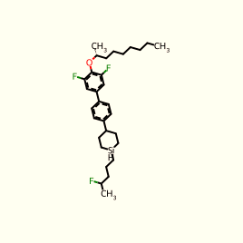 CCCCCCC[C@@H](C)Oc1c(F)cc(-c2ccc(C3CC[SiH](CCCC(C)F)CC3)cc2)cc1F